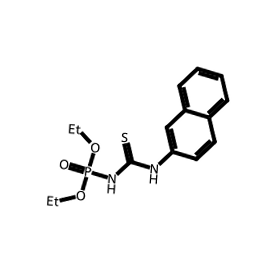 CCOP(=O)(NC(=S)Nc1ccc2ccccc2c1)OCC